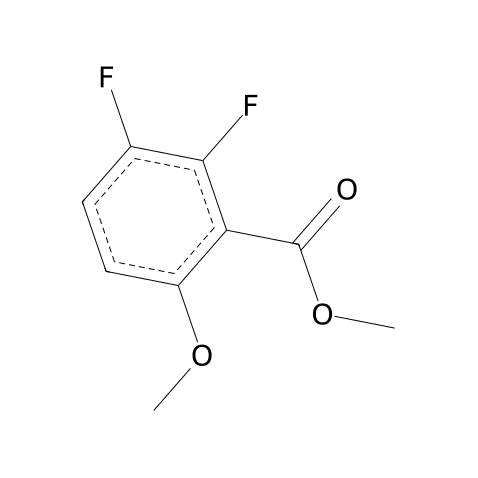 COC(=O)c1c(OC)ccc(F)c1F